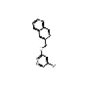 Brc1cncc(OCc2ccc3ccccc3c2)c1